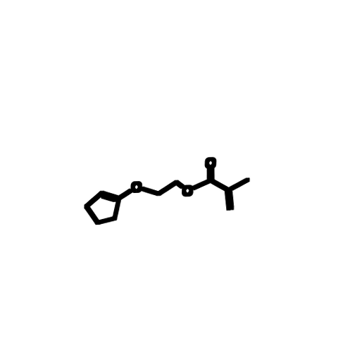 C=C(C)C(=O)OCCOC1=CCCC1